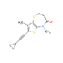 Cc1c(C#CC2CC2)sc2c1SCCC(=O)N2C